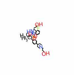 CC1(C)OC(N[C@@H](CCO)c2ccccc2F)=NS(=O)(=O)C1Cc1ccc(C2CCN(CCCO)CC2)cc1